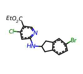 CCOC(=O)c1cnc(NC2Cc3ccc(Br)cc3C2)cc1Cl